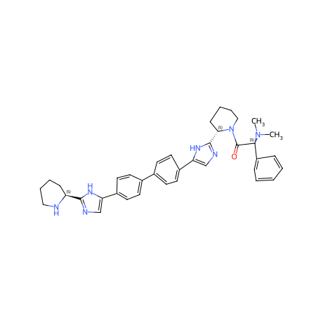 CN(C)[C@H](C(=O)N1CCCC[C@H]1c1ncc(-c2ccc(-c3ccc(-c4cnc([C@@H]5CCCCN5)[nH]4)cc3)cc2)[nH]1)c1ccccc1